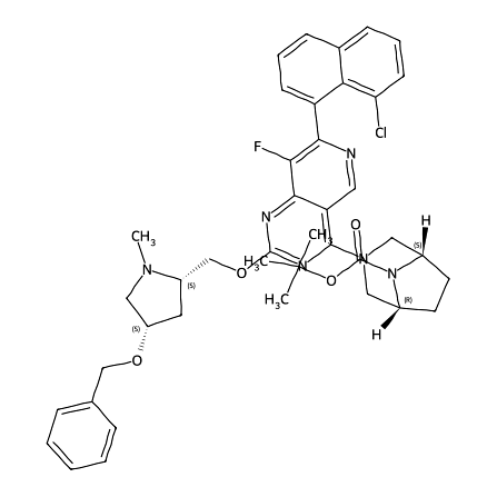 CN1C[C@@H](OCc2ccccc2)C[C@H]1COc1nc(N2C[C@H]3CC[C@@H](C2)N3C(=O)OC(C)(C)C)c2cnc(-c3cccc4cccc(Cl)c34)c(F)c2n1